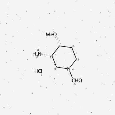 CO[C@@H]1CCN(C=O)C[C@@H]1N.Cl